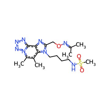 CC(C)=NOCc1nc2c(c(C)c(C)n3nnnc23)n1CCCCNS(C)(=O)=O